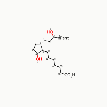 CCCCCC(O)CC[C@H]1CCC(O)[C@@H]1CCCCCCC(=O)O